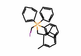 Cc1cccc(C)c1CP(CI)(c1ccccc1)(c1ccccc1)c1ccccc1